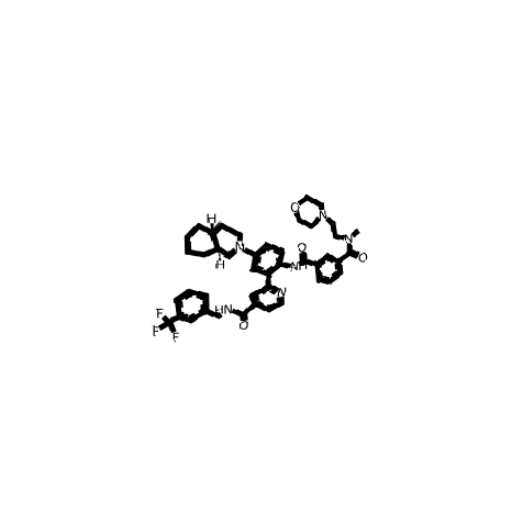 CN(CCN1CCOCC1)C(=O)c1cccc(C(=O)Nc2ccc(N3CC[C@H]4CCCC[C@@H]4C3)cc2-c2cc(C(=O)NCc3cccc(C(F)(F)F)c3)ccn2)c1